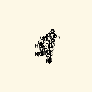 Cc1cc(N2CCC(C)(c3cccc(-c4ccccc4[C@]4(C)CCN(c5cc(C)n(CCN6C(=O)NC7(CCN(c8nccn9cncc89)CC7)C6=O)c(=O)c5)C4)c3)C2)cc(=O)n1CCN1C(=O)NC2(CCN(c3ncccn3)CC2)C1=O